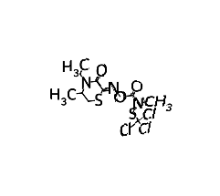 CCN1C(=O)C(=NOC(=O)N(C)SC(Cl)(Cl)Cl)SCC1C